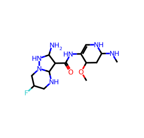 CNC1CC(OC)C(NC(=O)C2C(N)NN3CC(F)CNC23)=CN1